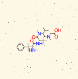 CNC(C(=O)N[C@H](C(=O)N(C)[C@H](CN(C)CC(=O)O)C(C)C)C(C)(C)C)C(C)(C)c1ccccc1